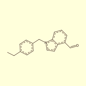 CCc1ccc(Cn2ccc3c(C=O)cccc32)cc1